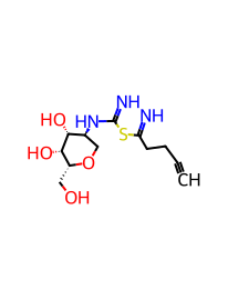 C#CCCC(=N)SC(=N)N[C@H]1CO[C@H](CO)[C@H](O)[C@@H]1O